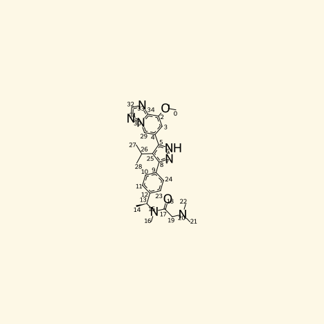 COc1cc(-c2[nH]nc(-c3ccc([C@H](C)N(C)C(=O)CN(C)C)cc3)c2C(C)C)cn2ncnc12